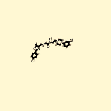 Cc1oc(-c2ccc(Cl)cc2)nc1CSCC(=O)NCCN1CCN(c2cccc(Cl)c2)CC1